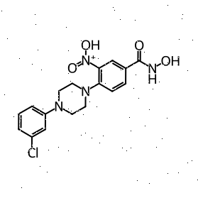 O=C(NO)c1ccc(N2CCN(c3cccc(Cl)c3)CC2)c([N+](=O)O)c1